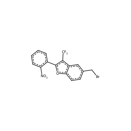 O=[N+]([O-])c1ccccc1-c1oc2ccc(CBr)cc2c1C(F)(F)F